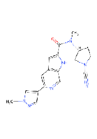 CN(C(=O)c1cc2cc(-c3cnn(C)c3)ncc2[nH]1)[C@@H]1CCN(C#N)C1